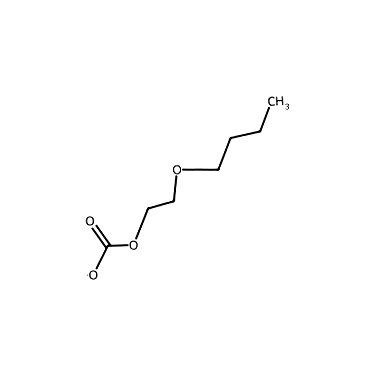 CCCCOCCOC([O])=O